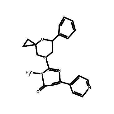 Cn1c(N2CC(c3ccccc3)OC3(CC3)C2)nc(-c2ccncc2)cc1=O